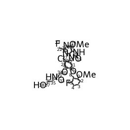 COc1cccc(F)c1COc1cc(-n2c(=O)[nH]c3c(OC)nc(CF)nc32)c(Cl)cc1OCC(=O)NCCCO